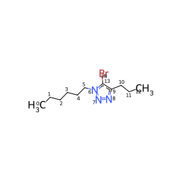 CCCCCCn1nnc(CCC)c1Br